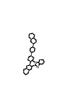 c1ccc2cc(-c3ccc(-c4ccc5c6cc7ccccc7cc6c6nc7ccccc7n6c5c4)cc3)ccc2c1